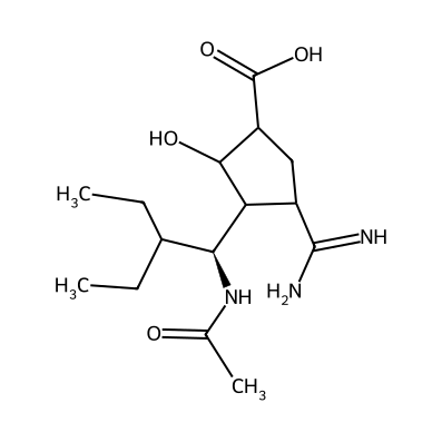 CCC(CC)[C@H](NC(C)=O)C1C(C(=N)N)CC(C(=O)O)C1O